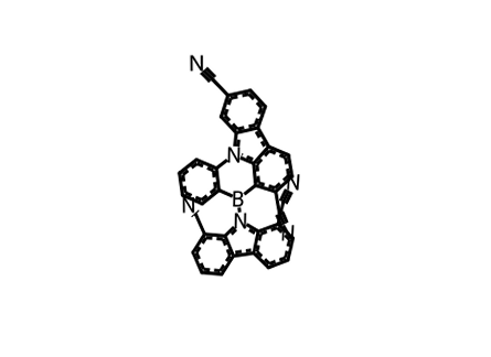 N#Cc1ccc2c3ccc(C#N)c4c3n(c2c1)-c1ccccc1B4n1c2c(C#N)cccc2c2cccc(C#N)c21